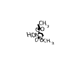 CCC(=O)OC1CCN(OC)C(=O)N1O